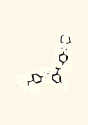 CC(C)c1ccc(S(=O)(=O)Nc2ccc(Cl)cc2C(=O)Nc2ccc(S(=O)(=O)N3CCOCC3)cc2)cc1